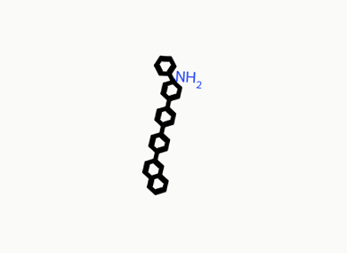 NC1(c2ccccc2)C=CC(c2ccc(-c3ccc(-c4ccc5ccccc5c4)cc3)cc2)=CC1